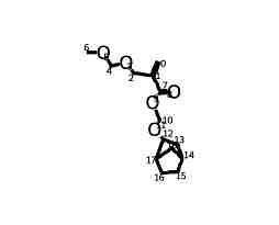 C=C(COCOC)C(=O)OCOC1CC2CCC1C2